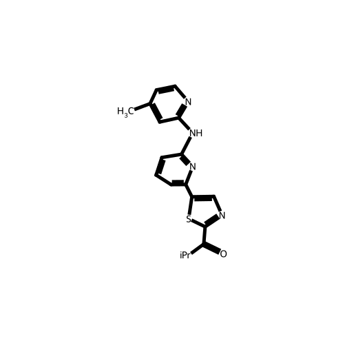 Cc1ccnc(Nc2cccc(-c3cnc(C(=O)C(C)C)s3)n2)c1